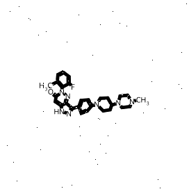 Cc1cccc(F)c1-n1nc2c(-c3ccc(N4CCC(N5CCN(C)CC5)CC4)cc3)n[nH]c2cc1=O